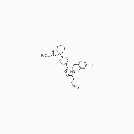 NCCC(=O)NC(Cc1ccc(Cl)cc1Cl)C(=O)N1CCN(C2(CNCC(F)(F)F)CCCCC2)CC1